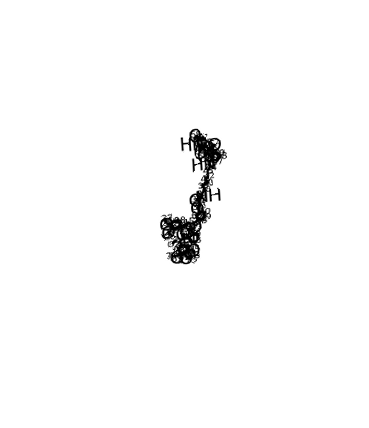 CC[C@H](C(=O)N1CCCC[C@H]1C(=O)O[C@H](CCc1ccc(OC)c(OC)c1)c1cccc(OCC(=O)NCCCCCCCCNc2cccc3c2C(=O)N(C2CCC(=O)NC2=O)C3=O)c1)c1cc(OC)c(OC)c(OC)c1